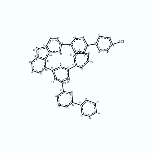 Clc1ccc(-c2ccc(-c3ccc4sc5cccc(-c6nc(-c7ccccc7)nc(-c7cccc(-c8ccccc8)c7)n6)c5c4c3)cc2)cc1